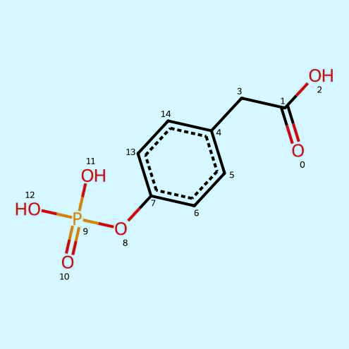 O=C(O)Cc1ccc(OP(=O)(O)O)cc1